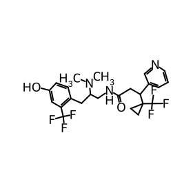 CN(C)C(CNC(=O)CC(c1cccnc1)C1(C(F)(F)F)CC1)Cc1ccc(O)cc1C(F)(F)F